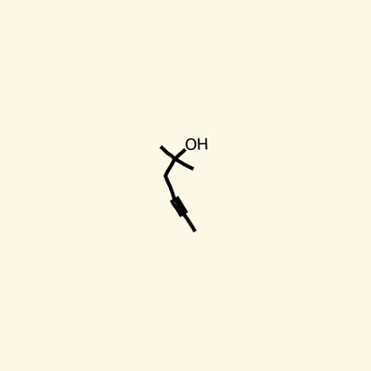 CC#CCC(C)(C)O